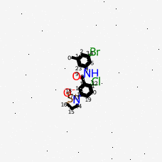 Cc1cc(Br)cc(NC(=O)c2cc(N3CCC[S+]3[O-])ccc2Cl)c1